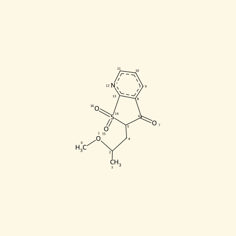 COC(C)CC1C(=O)c2cccnc2S1(=O)=O